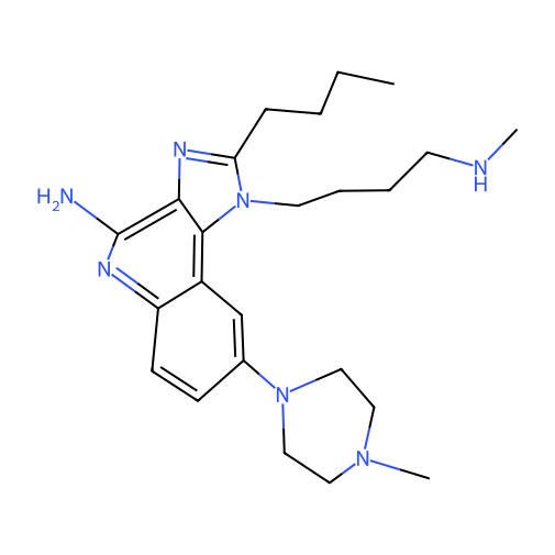 CCCCc1nc2c(N)nc3ccc(N4CCN(C)CC4)cc3c2n1CCCCNC